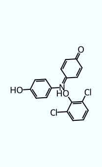 O=C1C=CC(=Nc2ccc(O)cc2)C=C1.Oc1c(Cl)cccc1Cl